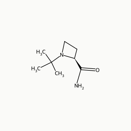 CC(C)(C)N1CC[C@H]1C(N)=O